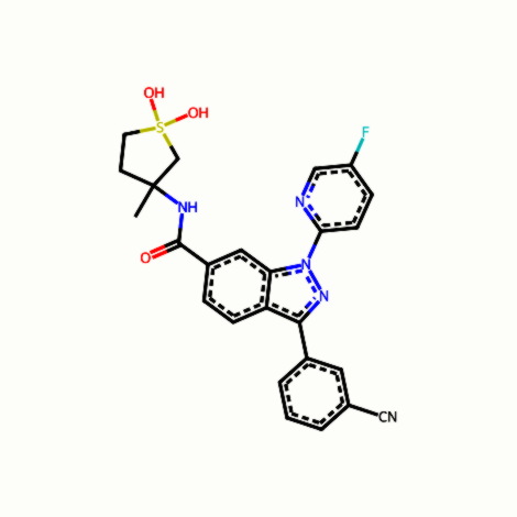 CC1(NC(=O)c2ccc3c(-c4cccc(C#N)c4)nn(-c4ccc(F)cn4)c3c2)CCS(O)(O)C1